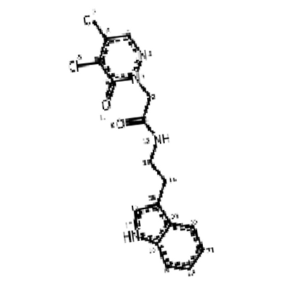 O=C(Cn1ncc(Cl)c(Cl)c1=O)NCCc1c[nH]c2ccccc12